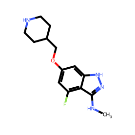 CNc1n[nH]c2cc(OCC3CCNCC3)cc(F)c12